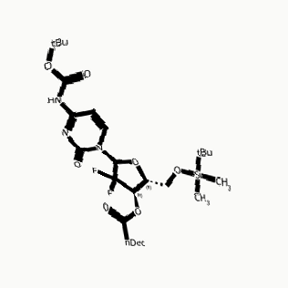 CCCCCCCCCCC(=O)O[C@@H]1[C@@H](CO[Si](C)(C)C(C)(C)C)OC(n2ccc(NC(=O)OC(C)(C)C)nc2=O)C1(F)F